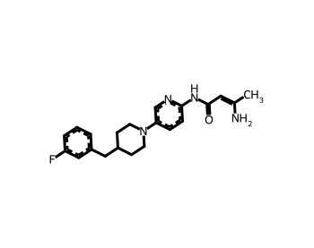 C/C(N)=C/C(=O)Nc1ccc(N2CCC(Cc3cccc(F)c3)CC2)cn1